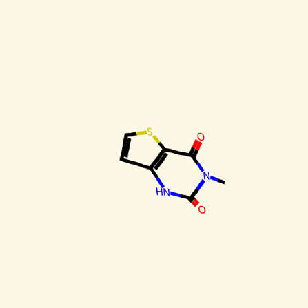 Cn1c(=O)[nH]c2ccsc2c1=O